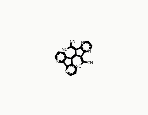 N#CC(C#N)=C1C(=C2c3cccnc3-c3ncccc32)C(=C(C#N)C#N)c2nccnc21